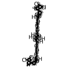 CN1Cc2c(Cl)cc(Cl)cc2C(c2cccc(S(=O)(=O)NCCOCCOCCOCCNC(=O)C(O)C(O)C(=O)NCCOCCOCCOCCNS(=O)(=O)c3cccc(C4CN(C)Cc5c(Cl)cc(Cl)cc54)c3)c2)C1